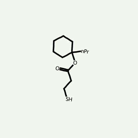 CCCC1(OC(=O)CCS)CCCCC1